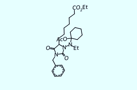 CCOC(=O)CCCCCCC1C(=O)N(Cc2ccccc2)C(=O)N1N(CC)C1(OC(C)=O)CCCCC1